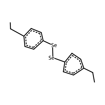 CCc1ccc([Se][Se]c2ccc(CC)cc2)cc1